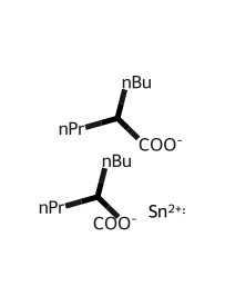 CCCCC(CCC)C(=O)[O-].CCCCC(CCC)C(=O)[O-].[Sn+2]